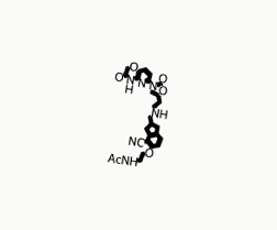 CC(=O)NCCOc1ccc2c(c1C#N)CC(CNCCC1CN(c3ccc4c(n3)NC(=O)CO4)C(=O)O1)C2